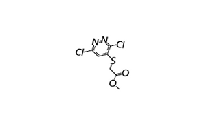 COC(=O)CSc1cc(Cl)nnc1Cl